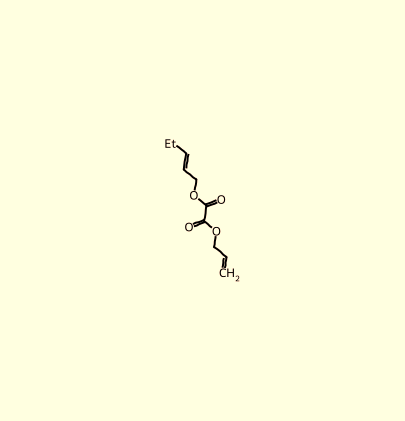 C=CCOC(=O)C(=O)OC/C=C/CC